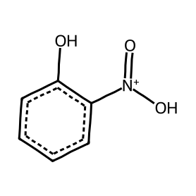 O=[N+](O)c1ccccc1O